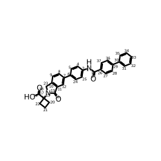 O=C(Nc1ccc(-c2ccc3c(c2)C(=O)N(C2(C(=O)O)CCC2)C3)cc1)c1ccc(-c2ccccc2)cc1